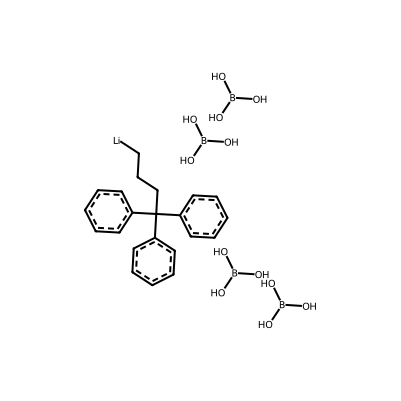 OB(O)O.OB(O)O.OB(O)O.OB(O)O.[Li][CH2]CCC(c1ccccc1)(c1ccccc1)c1ccccc1